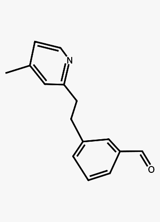 Cc1ccnc(CCc2cccc(C=O)c2)c1